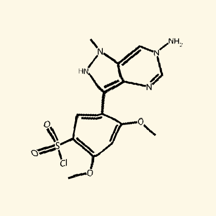 COc1cc(OC)c(S(=O)(=O)Cl)cc1C1=C2N=CN(N)C=C2N(C)N1